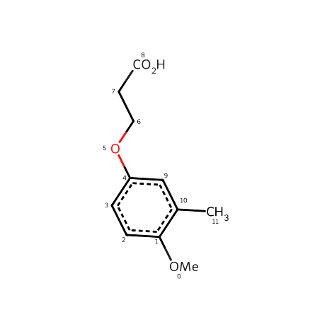 COc1ccc(OCCC(=O)O)cc1C